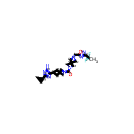 CC(F)(F)c1noc(CN2CC3(C2)CN(C(=O)N2CC4(CC(c5nc(C6CC6)n[nH]5)C4)C2)C3)n1